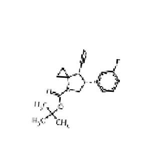 CC(C)(C)OC(=O)N1C[C@@H](c2cccc(F)c2)[C@H](C#N)C12CC2